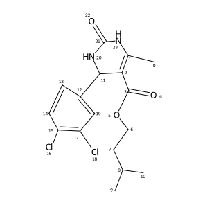 CC1=C(C(=O)OCCC(C)C)C(c2ccc(Cl)c(Cl)c2)NC(=O)N1